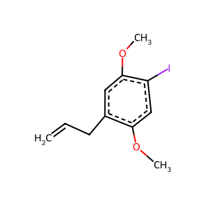 C=CCc1cc(OC)c(I)cc1OC